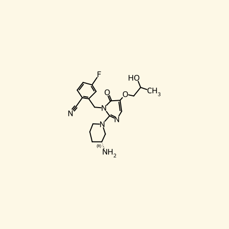 CC(O)COc1cnc(N2CCC[C@@H](N)C2)n(Cc2cc(F)ccc2C#N)c1=O